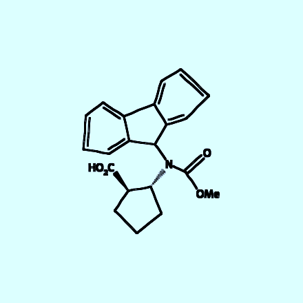 COC(=O)N(C1c2ccccc2-c2ccccc21)[C@@H]1CCC[C@H]1C(=O)O